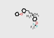 CC(C)(CCCc1cccc(Oc2ccccc2)c1)c1ccc(OC(F)(F)C(F)(F)F)cc1